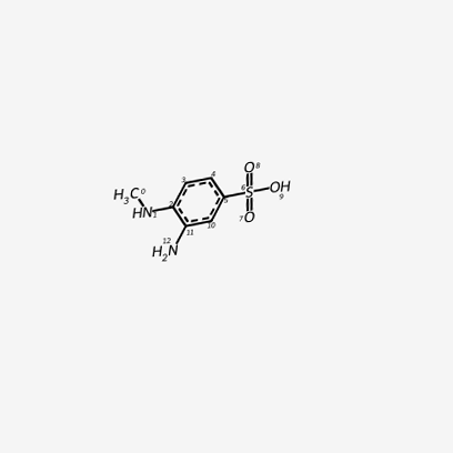 CNc1ccc(S(=O)(=O)O)cc1N